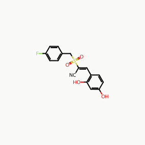 N#CC(=Cc1ccc(O)cc1O)S(=O)(=O)Cc1ccc(F)cc1